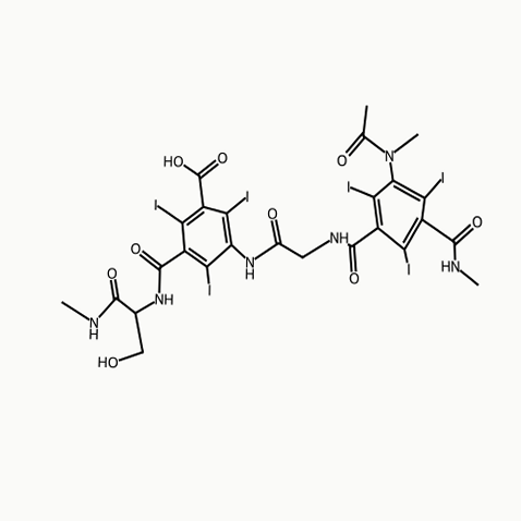 CNC(=O)c1c(I)c(C(=O)NCC(=O)Nc2c(I)c(C(=O)O)c(I)c(C(=O)NC(CO)C(=O)NC)c2I)c(I)c(N(C)C(C)=O)c1I